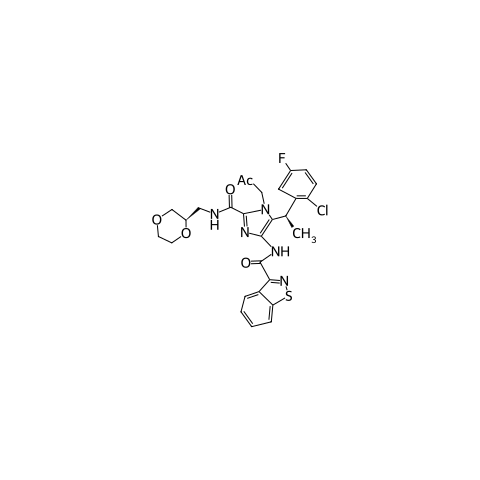 CC(=O)Cn1c(C(=O)NC[C@@H]2COCCO2)nc(NC(=O)c2nsc3ccccc23)c1[C@H](C)c1cc(F)ccc1Cl